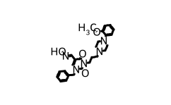 COc1ccccc1N1CCN(CCCn2c(=O)c(C=NO)cn(Cc3ccccc3)c2=O)CC1